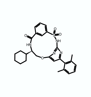 Cc1cccc(C)c1-c1cc2nc(n1)NS(=O)(=O)c1cccc(c1)C(=O)N[C@H](C1CCCCC1)CO2